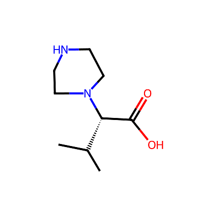 CC(C)[C@@H](C(=O)O)N1CCNCC1